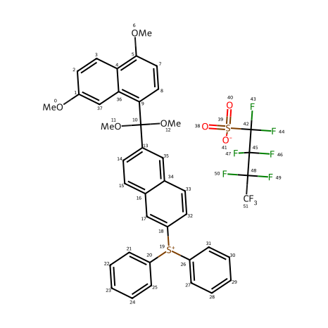 COc1ccc2c(OC)ccc(C(OC)(OC)c3ccc4cc([S+](c5ccccc5)c5ccccc5)ccc4c3)c2c1.O=S(=O)([O-])C(F)(F)C(F)(F)C(F)(F)C(F)(F)F